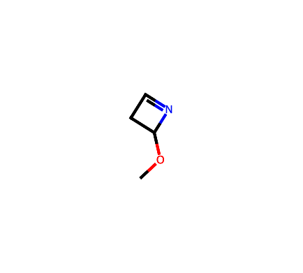 COC1CC=N1